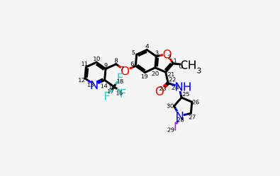 Cc1oc2ccc(OCc3cccnc3C(F)(F)F)cc2c1C(=O)NC1CCN(I)C1